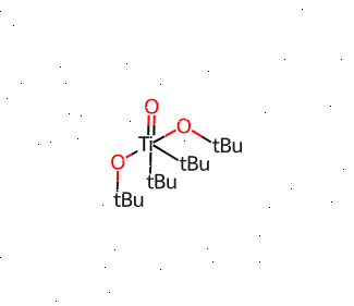 CC(C)(C)[O][Ti](=[O])([O]C(C)(C)C)([C](C)(C)C)[C](C)(C)C